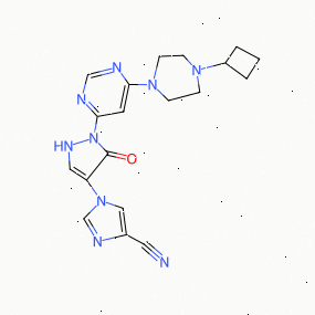 N#Cc1cn(-c2c[nH]n(-c3cc(N4CCN(C5CCC5)CC4)ncn3)c2=O)cn1